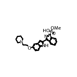 COP(=O)(O)n1nc(-c2cc3cc(OCCN4CCCCC4)ccc3[nH]2)c2ccccc21